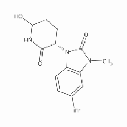 CC(C)c1ccc2c(c1)n(C)c(=O)n2[C@H]1CCC(O)NC1=O